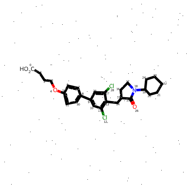 O=C(O)CCCOc1ccc(-c2cc(Cl)c(CC3CCN(C4CCCCC4)C3=O)c(Cl)c2)cc1